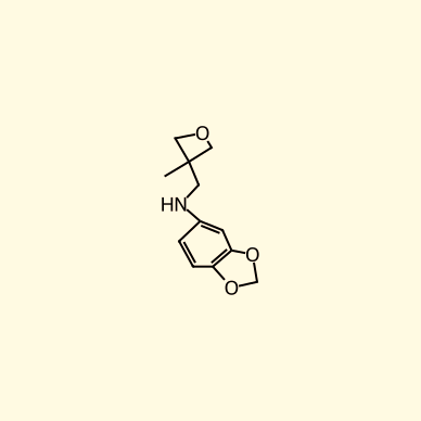 CC1(CNc2ccc3c(c2)OCO3)COC1